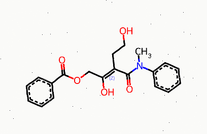 CN(C(=O)/C(CCO)=C(\O)COC(=O)c1ccccc1)c1ccccc1